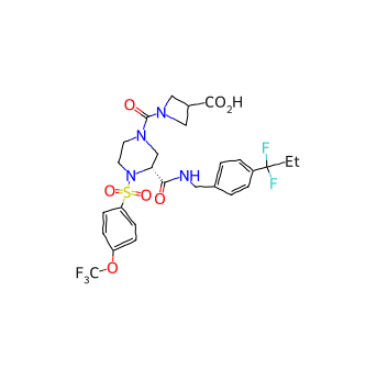 CCC(F)(F)c1ccc(CNC(=O)[C@H]2CN(C(=O)N3CC(C(=O)O)C3)CCN2S(=O)(=O)c2ccc(OC(F)(F)F)cc2)cc1